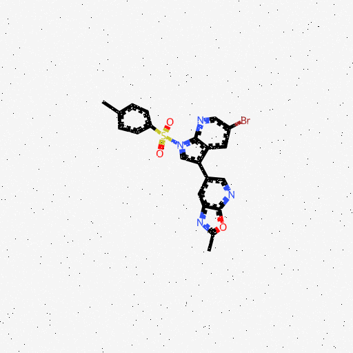 Cc1ccc(S(=O)(=O)n2cc(-c3cnc4oc(C)nc4c3)c3cc(Br)cnc32)cc1